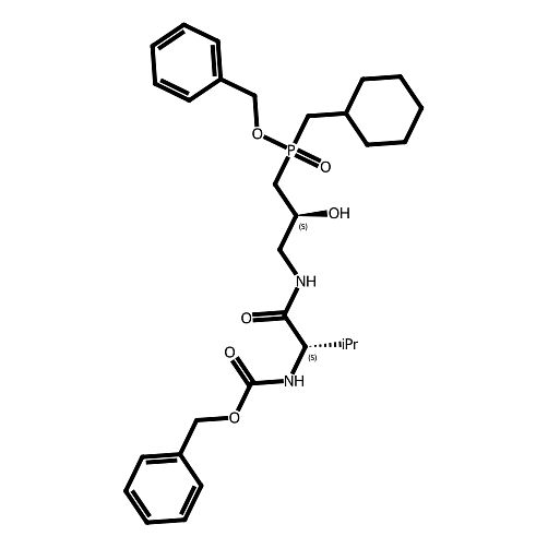 CC(C)[C@H](NC(=O)OCc1ccccc1)C(=O)NC[C@H](O)CP(=O)(CC1CCCCC1)OCc1ccccc1